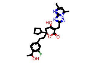 Cc1cc(C)n2nc(CC3=C(O)CC(CCc4ccc(C(C)O)c(F)c4)(C4CCCC4)OC3=O)nc2n1